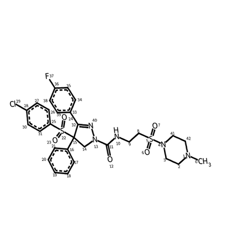 CN1CCN(S(=O)(=O)CCNC(=O)N2CC(c3ccccc3)(S(=O)(=O)c3ccc(Cl)cc3)C(c3ccc(F)cc3)=N2)CC1